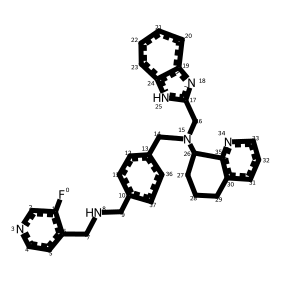 Fc1cnccc1CNCc1ccc(CN(Cc2nc3ccccc3[nH]2)C2CCCc3cccnc32)cc1